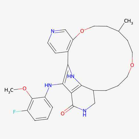 COc1c(F)cccc1Nc1c2[nH]c3c1C(=O)NCC3CCCOCCC(C)CCOc1cnccc1-2